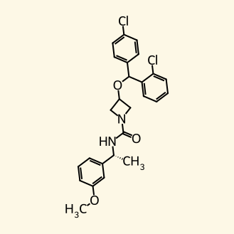 COc1cccc([C@@H](C)NC(=O)N2CC(OC(c3ccc(Cl)cc3)c3ccccc3Cl)C2)c1